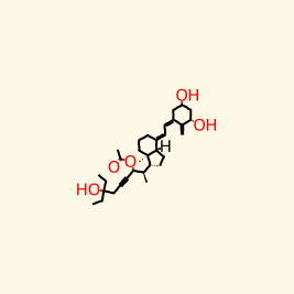 C=C1/C(=C\C=C2/CCC[C@]3(C)[C@@H]([C@@H](C)C(C#CCC(O)(CC)CC)OC(C)=O)CC[C@@H]23)C[C@@H](O)C[C@@H]1O